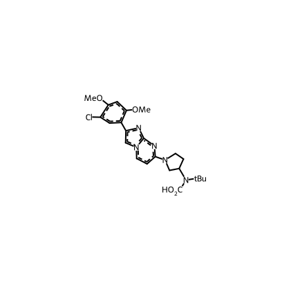 COc1cc(OC)c(-c2cn3ccc(N4CCC(N(C(=O)O)C(C)(C)C)C4)nc3n2)cc1Cl